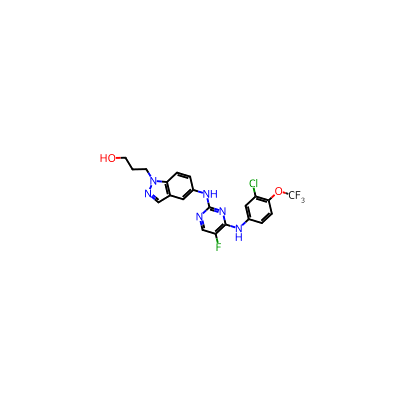 OCCCn1ncc2cc(Nc3ncc(F)c(Nc4ccc(OC(F)(F)F)c(Cl)c4)n3)ccc21